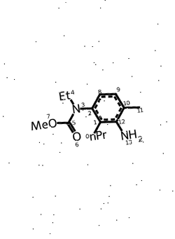 CCCc1c(N(CC)C(=O)OC)ccc(C)c1N